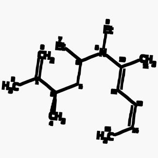 C=C(C)[C@H](C)CC(CC)N(CC)/C(C)=C/C=C\C